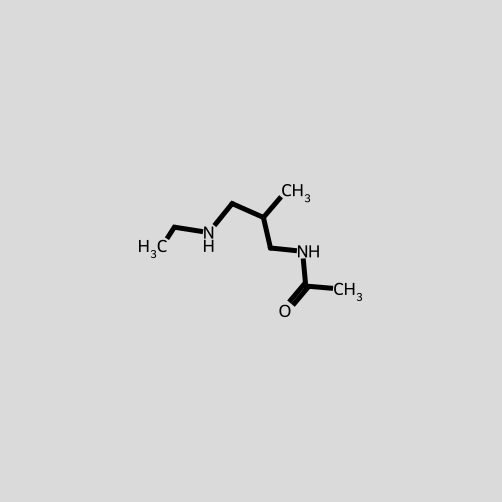 CCNCC(C)CNC(C)=O